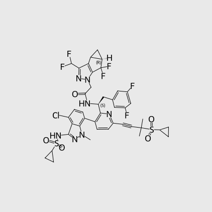 Cn1nc(NS(=O)(=O)C2CC2)c2c(Cl)ccc(-c3ccc(C#CC(C)(C)S(=O)(=O)C4CC4)nc3[C@H](Cc3cc(F)cc(F)c3)NC(=O)Cn3nc(C(F)F)c4c3C(F)(F)[C@@H]3CC43)c21